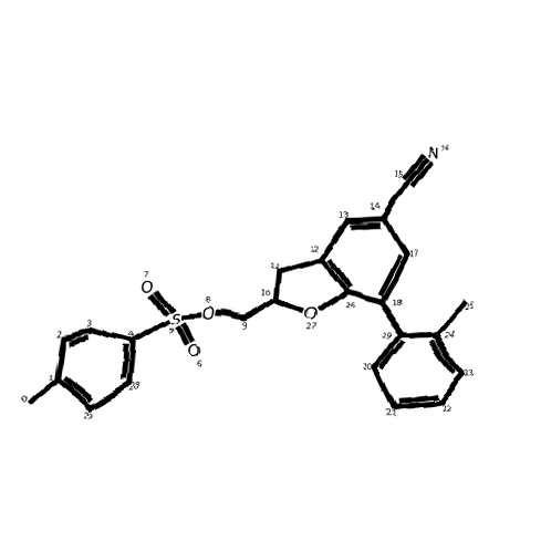 Cc1ccc(S(=O)(=O)OCC2Cc3cc(C#N)cc(-c4ccccc4C)c3O2)cc1